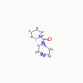 O=C(N1CCCCC1)N1CC[N]CC1